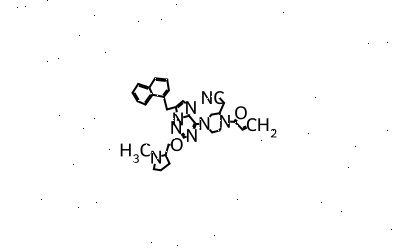 C=CC(=O)N1CCN(c2nc(OCC3CCCN3C)nn3c(Cc4cccc5ccccc45)cnc23)CC1CC#N